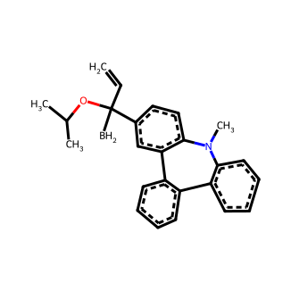 BC(C=C)(OC(C)C)c1ccc2c(c1)-c1ccccc1-c1ccccc1N2C